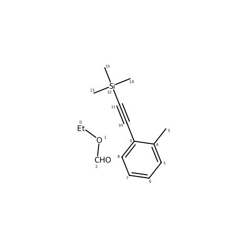 CCOC=O.Cc1ccccc1C#C[Si](C)(C)C